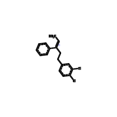 O=C(O)/C=C(/CCc1ccc(Cl)c(Cl)c1)c1ccccc1